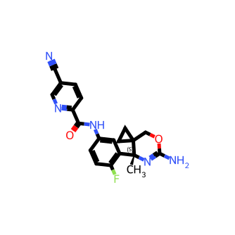 C[C@]1(c2cc(NC(=O)c3ccc(C#N)cn3)ccc2F)N=C(N)OCC12CC2